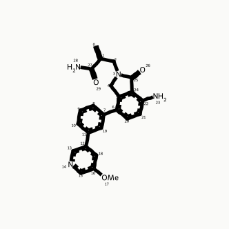 C=C(CN1Cc2c(-c3cccc(-c4cncc(OC)c4)c3)ccc(N)c2C1=O)C(N)=O